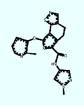 Cc1ncccc1Oc1sc(C(=O)Nc2cnn(C)c2)c2c1-c1sncc1CC2